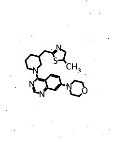 CC1CN=C(CC2CCCN(c3ncnc4cc(N5CCOCC5)ccc34)C2)S1